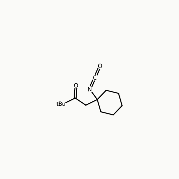 CC(C)(C)C(=O)CC1(N=C=O)CCCCC1